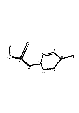 COC(=O)CN1C=CC(C)CC1